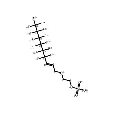 O=S(=O)(O)OCCOCC=CC(F)(F)C(F)(F)C(F)(F)C(F)(F)C(F)(F)C(F)(F)F